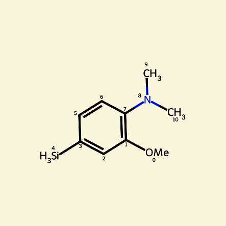 COc1cc([SiH3])ccc1N(C)C